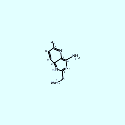 COCc1nc(N)c2nc(Cl)ccc2n1